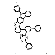 c1ccc(-c2ccc(-c3cccc4sc5cc6c(cc5c34)c3ccccc3n6-c3ccccc3)c(-c3ncnc(-c4ccccc4)n3)c2)cc1